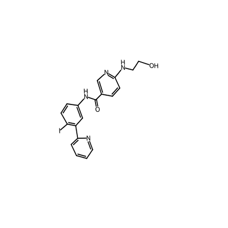 O=C(Nc1ccc(I)c(-c2ccccn2)c1)c1ccc(NCCO)nc1